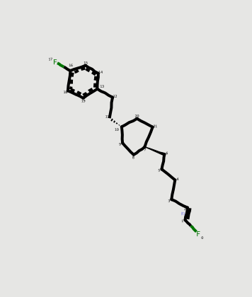 F/C=C/CCCC[C@H]1CC[C@H](CCc2ccc(F)cc2)CC1